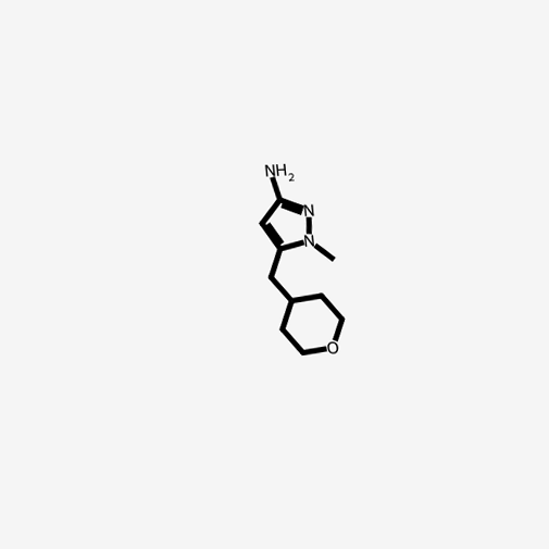 Cn1nc(N)cc1CC1CCOCC1